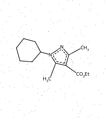 CCOC(=O)c1c(C)nn(C2CCCCC2)c1C